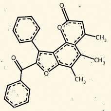 Cc1c(C)c2c(C)cc(=O)oc2c2c(-c3ccccc3)c(C(=O)c3ccccc3)oc12